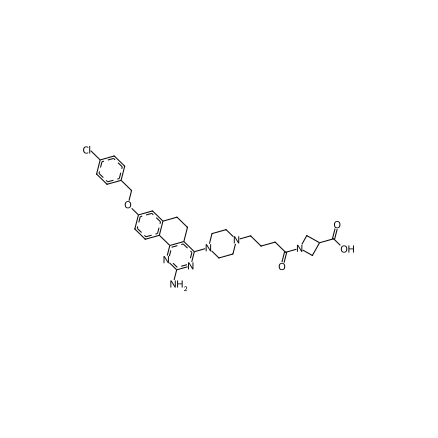 Nc1nc2c(c(N3CCN(CCCC(=O)N4CC(C(=O)O)C4)CC3)n1)CCc1cc(OCc3ccc(Cl)cc3)ccc1-2